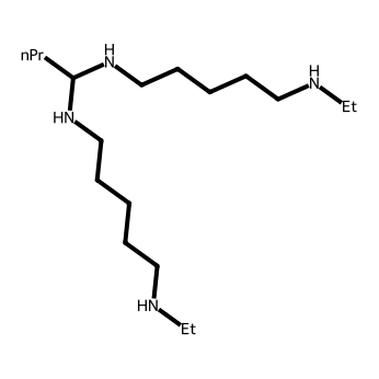 CCCC(NCCCCCNCC)NCCCCCNCC